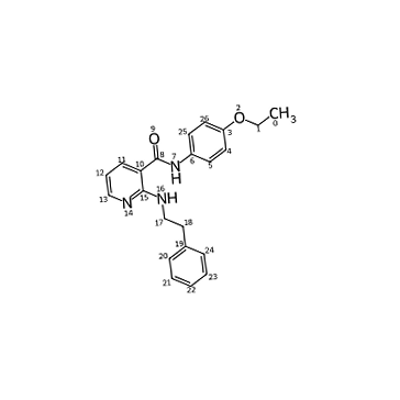 CCOc1ccc(NC(=O)c2cccnc2NCCc2ccccc2)cc1